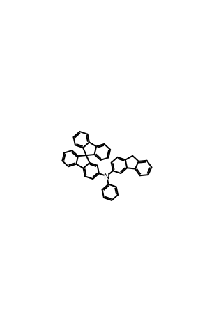 c1ccc(N(c2ccc3c(c2)-c2ccccc2C3)c2ccc3c(c2)C2(c4ccccc4-c4ccccc42)c2ccccc2-3)cc1